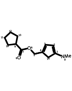 CNC1=CC=C(COC(=O)C2CCCC2)C1